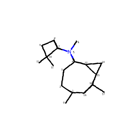 CC1CCC(N(C)C2CCC2(C)C)C2CC2C(C)C1